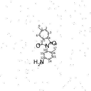 Cc1ccc2c(c1)C(=O)N(c1cc(N)ccc1C)C2=O